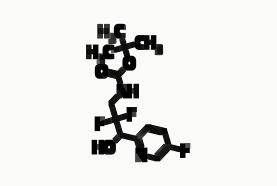 CC(C)(C)OC(=O)NCC(F)(F)C(O)c1ccc(F)cn1